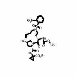 C=CCCN(CC[C@H](NC(=O)OC(C)(C)C)C(=O)N1C[C@H](O)C[C@H]1C(=O)NC1(C(=O)OCC)CC1)S(=O)(=O)c1ccccc1[N+](=O)[O-]